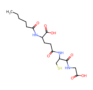 CCCCCC(=O)NC(CCC(=O)NC(CS)C(=O)NCC(=O)O)C(=O)O